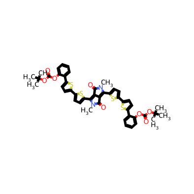 CN1C(=O)C2=C(c3ccc(-c4ccc(-c5ccccc5OC(=O)OC(C)(C)C)s4)s3)N(C)C(=O)C2=C1c1ccc(-c2ccc(-c3ccccc3OC(=O)OC(C)(C)C)s2)s1